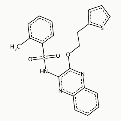 Cc1ccccc1S(=O)(=O)Nc1nc2ccccc2nc1OCCc1cccs1